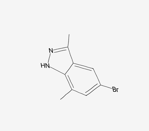 Cc1n[nH]c2c(C)cc(Br)cc12